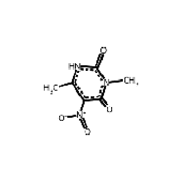 Cc1[nH]c(=O)n(C)c(=O)c1[N+](=O)[O-]